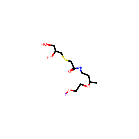 CC(CCNC(=O)CSCC(O)CO)OCCOI